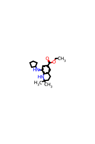 CCOC(=O)c1cc2c(c(NC3CCCC3)c1)NC(C)(C)CC2